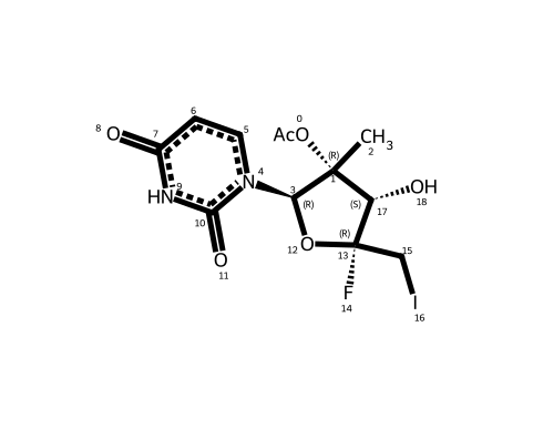 CC(=O)O[C@@]1(C)[C@H](n2ccc(=O)[nH]c2=O)O[C@](F)(CI)[C@H]1O